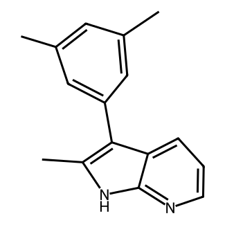 Cc1cc(C)cc(-c2c(C)[nH]c3ncccc23)c1